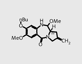 C=C1C[C@H]2C(OC)Nc3cc(OCCCC)c(OC)cc3C(=O)N2C1